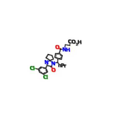 CCCC(c1ccc(C(=O)NCCC(=O)O)cc1)N1C(=O)C(c2cc(Cl)cc(Cl)c2)=NC12CCCC2